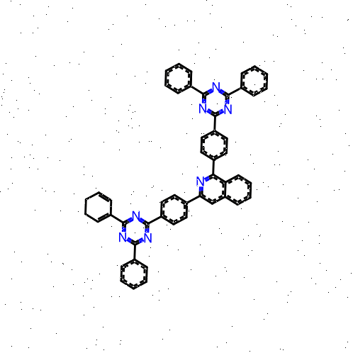 C1=CC(c2nc(-c3ccccc3)nc(-c3ccc(-c4cc5ccccc5c(-c5ccc(-c6nc(-c7ccccc7)nc(-c7ccccc7)n6)cc5)n4)cc3)n2)=CCC1